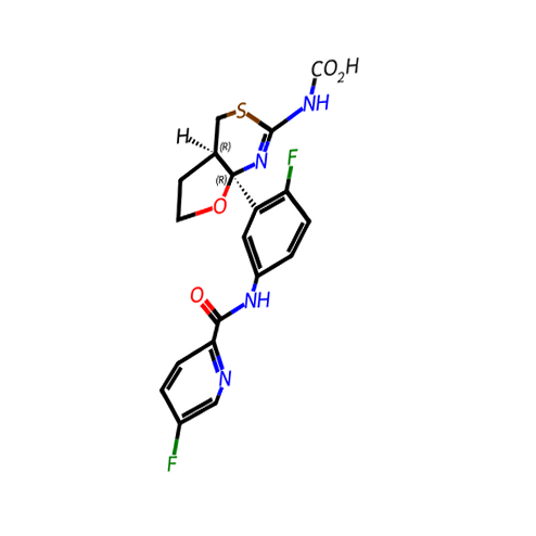 O=C(O)NC1=N[C@@]2(c3cc(NC(=O)c4ccc(F)cn4)ccc3F)OCC[C@H]2CS1